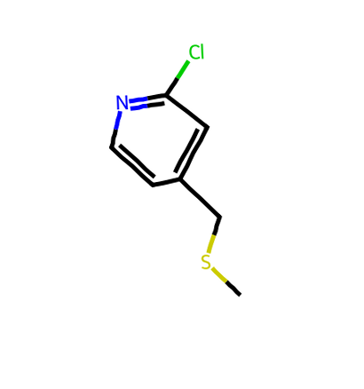 CSCc1ccnc(Cl)c1